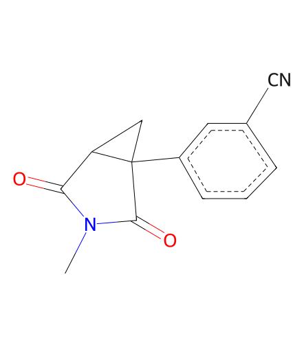 CN1C(=O)C2CC2(c2cccc(C#N)c2)C1=O